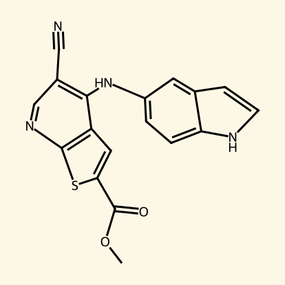 COC(=O)c1cc2c(Nc3ccc4[nH]ccc4c3)c(C#N)cnc2s1